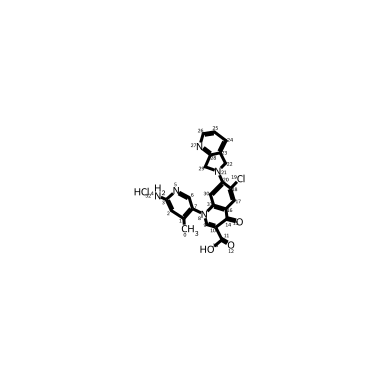 Cc1cc(N)ncc1-n1cc(C(=O)O)c(=O)c2cc(Cl)c(N3Cc4cccnc4C3)cc21.Cl